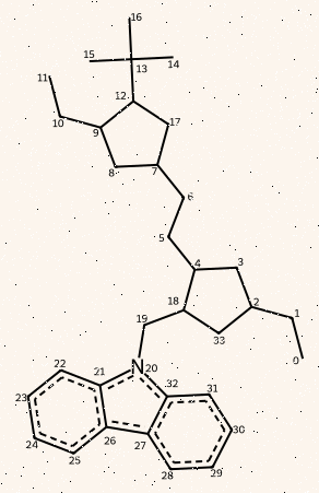 CCC1CC(CCC2CC(CC)C(C(C)(C)C)C2)C(Cn2c3ccccc3c3ccccc32)C1